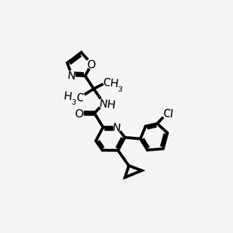 CC(C)(NC(=O)c1ccc(C2CC2)c(-c2cccc(Cl)c2)n1)c1ncco1